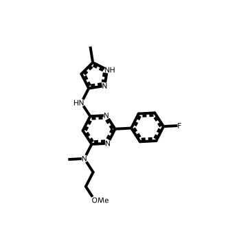 COCCN(C)c1cc(Nc2cc(C)[nH]n2)nc(-c2ccc(F)cc2)n1